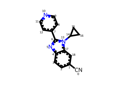 N#Cc1ccc2nc(-c3ccncc3)n(C3CC3)c2c1